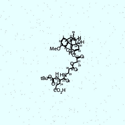 COc1ccc2c3c1O[C@H]1C(OC(=O)[C@H](C)OC(=O)CCNC(=O)C(CCC(=O)O)NC(=O)OC(C)(C)C)=CC[C@@]4(O)[C@@H](C2)N(C)CC[C@]314